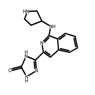 O=c1[nH]nc(-c2cc3ccccc3c(NC3CCNC3)n2)[nH]1